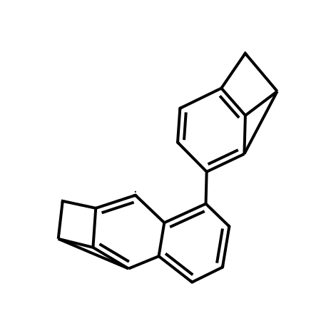 [c]1c2c3c(c4cccc(-c5ccc6c7c5C7C6)c14)C3C2